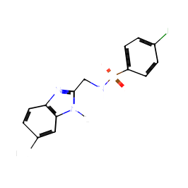 CCn1c(CNS(=O)(=O)c2ccc(F)cc2)nc2ccc(C(F)(F)F)cc21